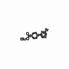 CC(C)(C)OC(=O)N1CCN(c2cncc(Br)n2)CC1